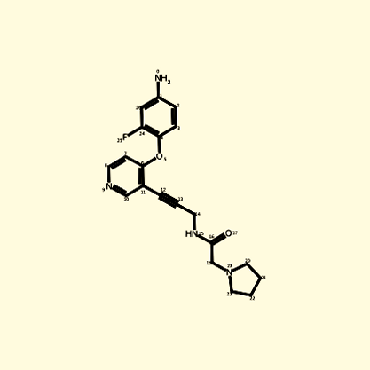 Nc1ccc(Oc2ccncc2C#CCNC(=O)CN2CCCC2)c(F)c1